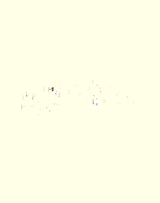 BC(B)(NC(=O)C(F)(F)c1ccc(Cl)cc1)c1ccc2c(c1)CN(C1(B)C(=O)NC(=O)C(B)(B)C1(B)B)C2=O